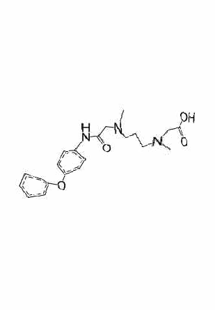 CN(CCCN(C)CC(=O)Nc1ccc(Oc2ccccc2)cc1)CC(=O)O